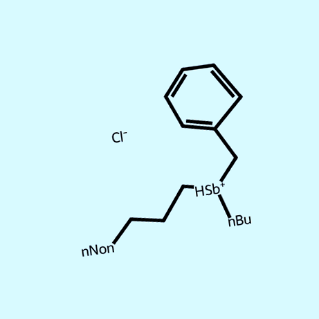 CCCCCCCCCCC[CH2][SbH+]([CH2]CCC)[CH2]c1ccccc1.[Cl-]